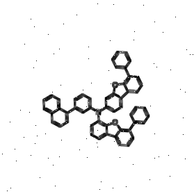 c1ccc(-c2cccc3c2oc2cc(N(c4cccc(-c5cccc6ccccc56)c4)c4cccc5c4oc4c(-c6ccccc6)cccc45)ccc23)cc1